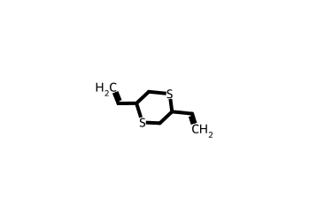 C=CC1CSC(C=C)CS1